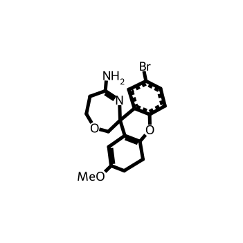 COC1=CC2=C(CC1)Oc1ccc(Br)cc1C21COCCC(N)=N1